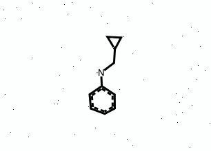 c1ccc([N]CC2CC2)cc1